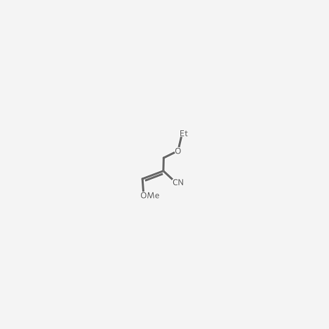 CCOC/C(C#N)=C/OC